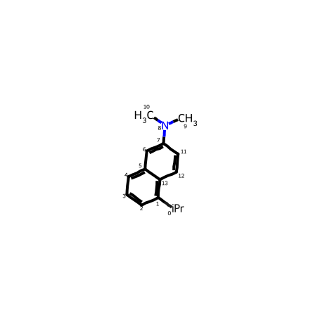 CC(C)c1cccc2cc(N(C)C)ccc12